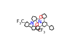 O=C1c2cccc(-n3c4cc(C(F)(F)F)ccc4c4ccc(C(F)(F)F)cc43)c2C(=O)N1c1c(-c2ccccc2)cc(-c2ccccc2)cc1-c1ccccc1